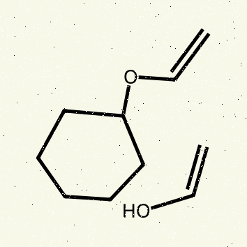 C=CO.C=COC1CCCCC1